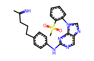 CC(=N)CCCc1ccc(Nc2ncc3ncn(-c4ccccc4S(C)(=O)=O)c3n2)cc1